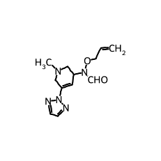 C=CCON(C=O)C1C=C(n2nccn2)CN(C)C1